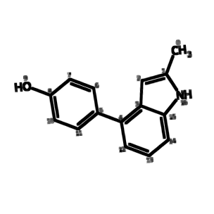 Cc1cc2c(-c3ccc(O)cc3)cccc2[nH]1